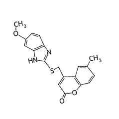 COc1ccc2nc(SCc3cc(=O)oc4ccc(C)cc34)[nH]c2c1